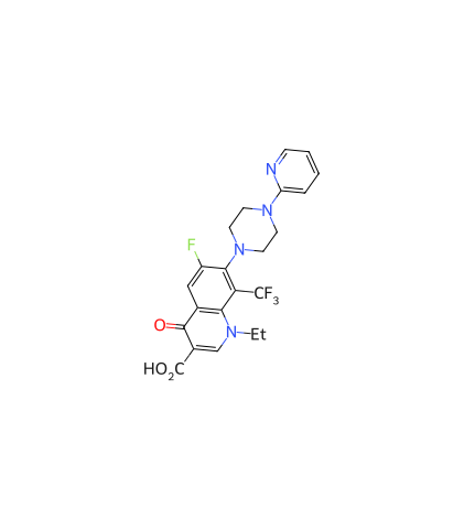 CCn1cc(C(=O)O)c(=O)c2cc(F)c(N3CCN(c4ccccn4)CC3)c(C(F)(F)F)c21